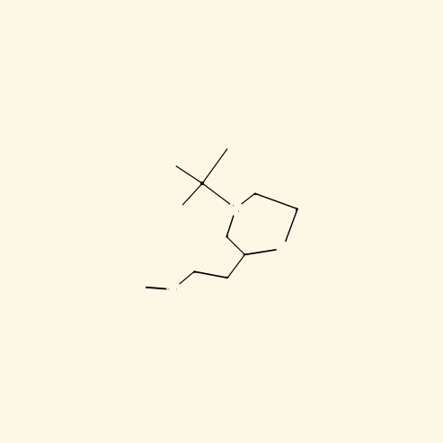 COCC[C@@]1(C)CN(C(C)(C)C)CCO1